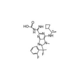 C[C@@H](Nc1nc(C(=N)NC(=O)O)nc2nc(C(C)(F)c3ccccc3F)n(C)c12)C1CCC1